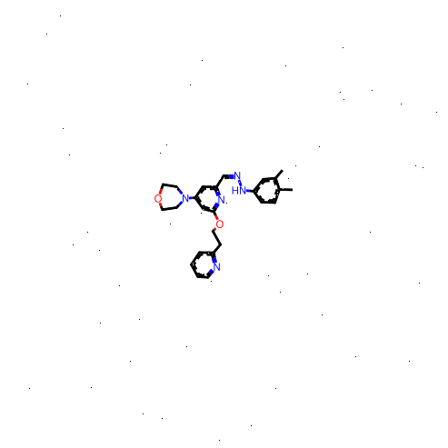 Cc1ccc(N/N=C\c2cc(N3CCOCC3)cc(OCCc3ccccn3)n2)cc1C